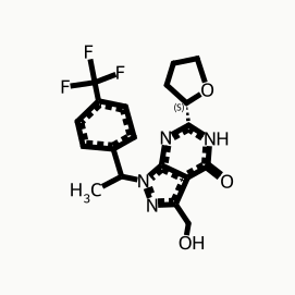 CC(c1ccc(C(F)(F)F)cc1)n1nc(CO)c2c(=O)[nH]c([C@@H]3CCCO3)nc21